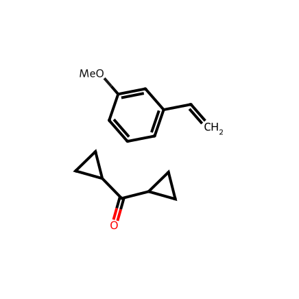 C=Cc1cccc(OC)c1.O=C(C1CC1)C1CC1